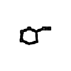 O=CC1CCOOO1